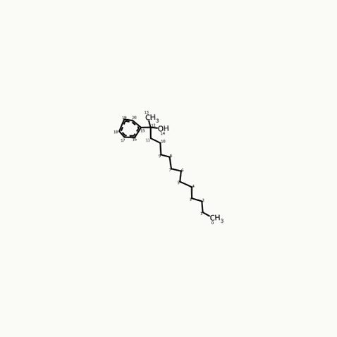 CCCCCCCCCCCCC(C)(O)c1ccccc1